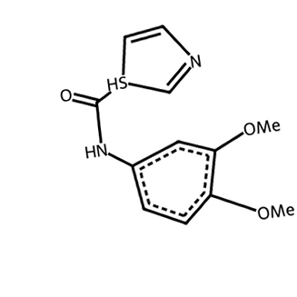 COc1ccc(NC(=O)[SH]2C=CN=C2)cc1OC